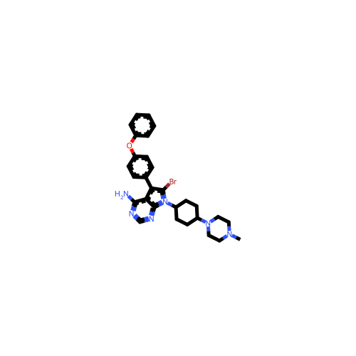 CN1CCN(C2CCC(n3c(Br)c(-c4ccc(Oc5ccccc5)cc4)c4c(N)ncnc43)CC2)CC1